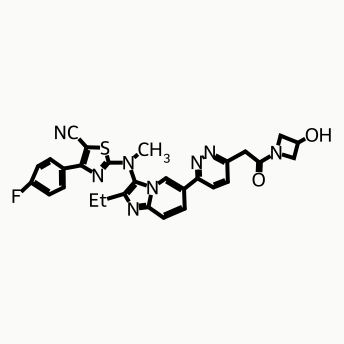 CCc1nc2ccc(-c3ccc(CC(=O)N4CC(O)C4)nn3)cn2c1N(C)c1nc(-c2ccc(F)cc2)c(C#N)s1